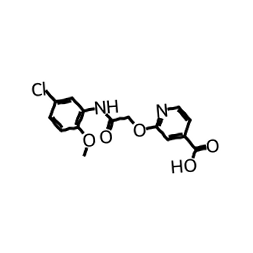 COc1ccc(Cl)cc1NC(=O)COc1cc(C(=O)O)ccn1